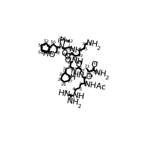 CC(=O)N[C@@H](CCCNC(=N)N)C(=O)N[C@@H](CCC(N)=O)C(=O)N[C@@H](CC1CCCCC1)C(=O)NC(CCCCN)C(=O)N[C@@H](CC(C)C)C(=O)NC(CO)Cc1ccccc1